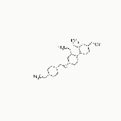 CCC1CCC(COC2CCC(C3CCC(CO)CC3CC)C(CC)C2)CC1